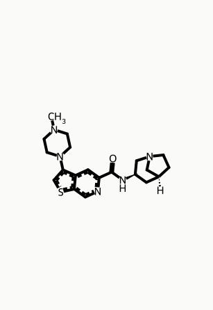 CN1CCN(c2csc3cnc(C(=O)N[C@@H]4C[C@@H]5CCN(C5)C4)cc23)CC1